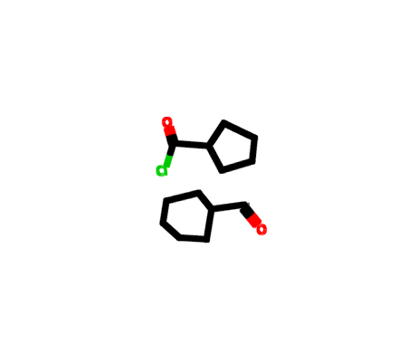 O=C(Cl)C1CCCC1.O=[C]C1CCCCC1